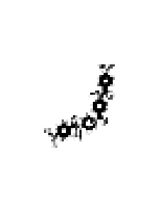 CN(C)c1ccc(C(=O)Nc2ccc(C(=O)N3CCC(NC(=O)c4ccc(N(C)C)cc4)CC3)cc2)cc1